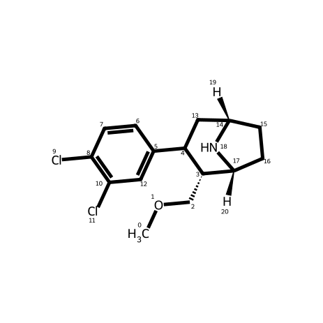 COC[C@@H]1C(c2ccc(Cl)c(Cl)c2)C[C@@H]2CC[C@H]1N2